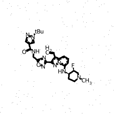 C=Cc1c(-c2noc(CNC(=O)c3cnn(C(C)(C)C)c3)n2)nn2c(N[C@@H]3CCN(C)C[C@@H]3F)cccc12